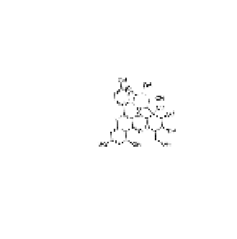 C[C@H]1OC([C@]2(O)C(Oc3c(-c4ccc(O)cc4)oc4cc(O)cc(O)c4c3=O)O[C@H](CO)[C@H](O)[C@@H]2O)[C@@H](O)[C@@H](O)[C@@H]1O